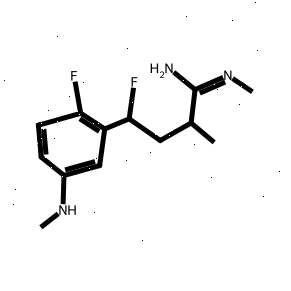 C/N=C(/N)C(C)CC(F)c1cc(NC)ccc1F